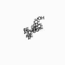 COc1ccc(CO)cc1C1=C(CN2C(=O)O[C@H](c3cc(C(F)(F)F)cc(C(F)(F)F)c3)[C@@H]2C)CC(C)(C)CC1